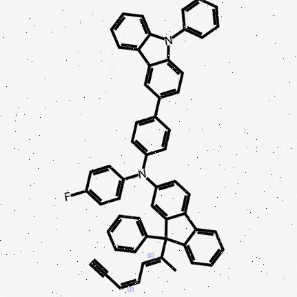 C#C/C=C\C=C(/C)C1(c2ccccc2)c2ccccc2-c2ccc(N(c3ccc(F)cc3)c3ccc(-c4ccc5c(c4)c4ccccc4n5-c4ccccc4)cc3)cc21